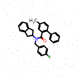 Cc1ccc(-c2ccccc2)c(C(=O)N(Cc2ccc(F)cc2)C2Cc3ccccc3C2)c1